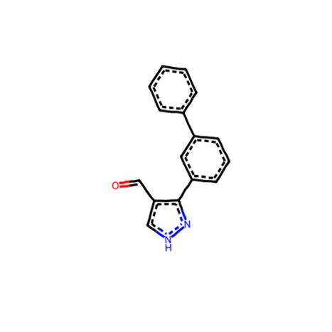 O=Cc1c[nH]nc1-c1cccc(-c2ccccc2)c1